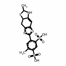 Cc1cc(-c2nc3c(s2)C=C2NC(C)SC2C3)c(S(=O)(=O)O)cc1S(=O)(=O)O